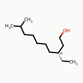 CC[C@@H](CCO)CCCCCC(C)C